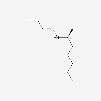 CCCCC[C@H](C)NCCCC